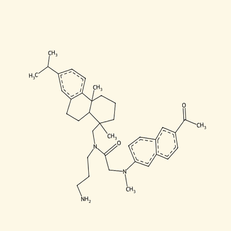 CC(=O)c1ccc2cc(N(C)CC(=O)N(CCCN)CC3(C)CCCC4(C)c5ccc(C(C)C)cc5CCC34)ccc2c1